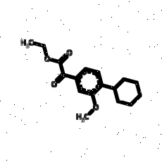 CCOC(=O)C(=O)c1ccc(C2CCCCC2)c(OC)c1